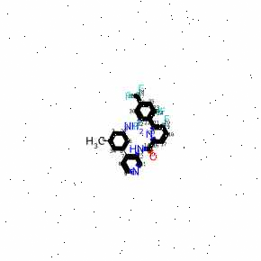 C[C@@H]1C[C@@H](N)C[C@H](c2ccncc2NC(=O)c2ccc(F)c(-c3c(F)cc(C(F)F)cc3F)n2)C1